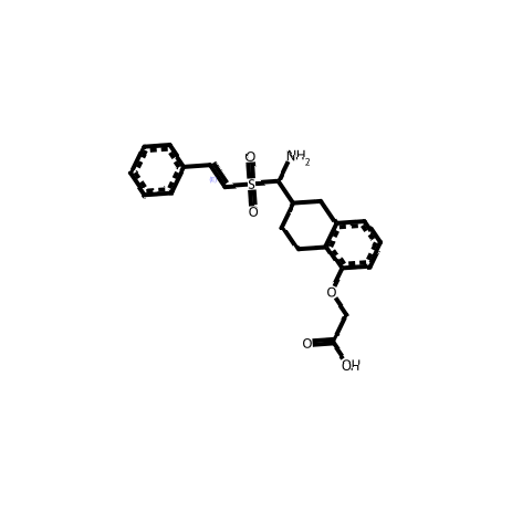 NC(C1CCc2c(cccc2OCC(=O)O)C1)S(=O)(=O)/C=C/c1ccccc1